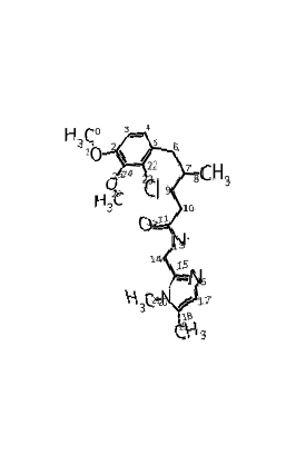 COc1ccc(CC(C)CCC(=O)[N]Cc2ncc(C)n2C)c(Cl)c1OC